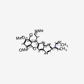 C/C=C(\C=N/C)c1cnc2ccc(N(CCNC)c3c(Cl)c(OC)cc(OC)c3Cl)nc2n1